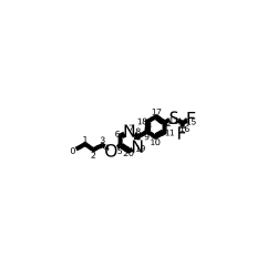 CCCCOc1cnc(-c2ccc(SC(F)F)cc2)nc1